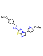 COc1ccc(CNc2nn3c(-c4ccc(OC)nc4)cnc3s2)cc1